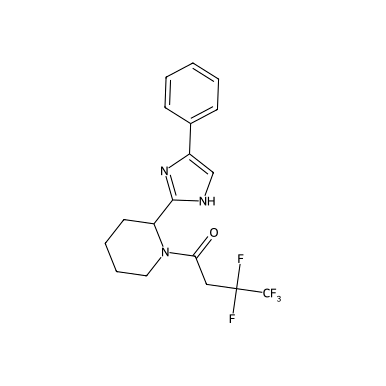 O=C(CC(F)(F)C(F)(F)F)N1CCCCC1c1nc(-c2ccccc2)c[nH]1